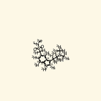 [2H]c1c(C([2H])([2H])S(=O)(=O)N([2H])C)c([2H])c2c(C([2H])([2H])C([2H])([2H])N(C([2H])([2H])[2H])C([2H])([2H])[2H])c([2H])n([2H])c2c1[2H]